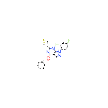 Fc1ccc(-n2ncc3c(OCc4ccccc4)nc(C4CSC4)nc32)c(F)c1